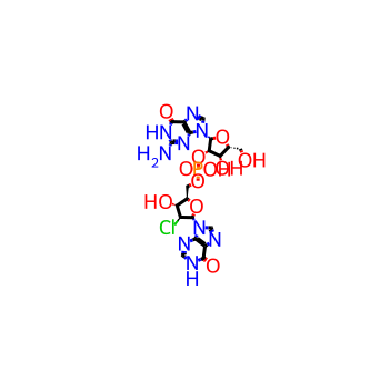 Nc1nc2c(ncn2[C@@H]2O[C@H](CO)[C@@H](O)[C@H]2OP(=O)(O)OC[C@H]2O[C@@H](n3cnc4c(=O)[nH]cnc43)[C@@H](Cl)[C@@H]2O)c(=O)[nH]1